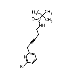 CC(C)(C)[S+]([O-])NCCC#CCc1cccc(Br)n1